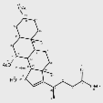 COC(=O)CC[C@@H](C)C1=C[C@H](O)[C@H]2C3C(CCC12C)C1(C)CC[C@@H](OC(C)=O)CC1C[C@H]3OC(C)=O